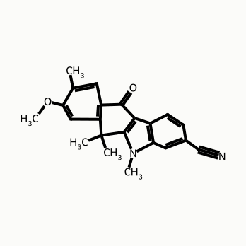 COc1cc2c(cc1C)C(=O)c1c(n(C)c3cc(C#N)ccc13)C2(C)C